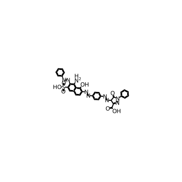 Nc1c(N=Nc2ccccc2)c(S(=O)(=O)O)cc2ccc(N=Nc3ccc(N=NC4C(=O)N(c5ccccc5)N=C4C(=O)O)cc3)c(O)c12